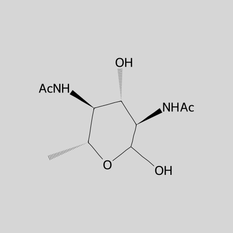 CC(=O)N[C@H]1[C@H](O)[C@@H](NC(C)=O)C(O)O[C@@H]1C